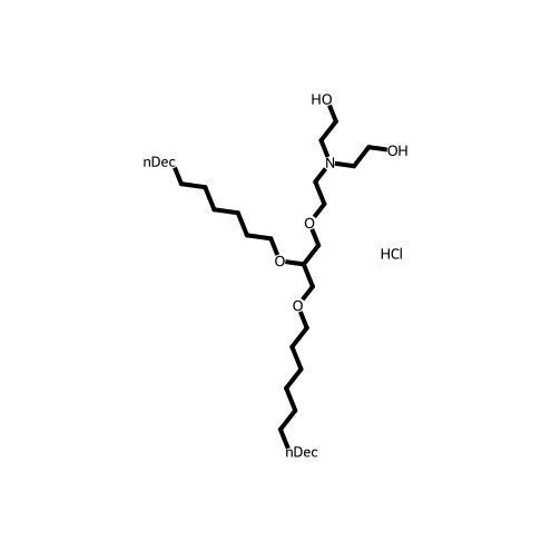 CCCCCCCCCCCCCCCCOCC(COCCN(CCO)CCO)OCCCCCCCCCCCCCCCC.Cl